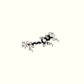 CCc1cc2c(nc1C)NC[C@H](/C=C/CCC(=O)OC(C)(C)C)C(=O)N2C